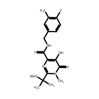 COC(C)(C)c1nc(C(=O)NCc2ccc(F)c(C)c2)c(O)c(=O)n1C